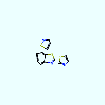 c1ccc2scnc2c1.c1cnsc1.c1cscn1